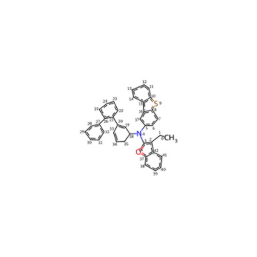 CCc1c(N(c2ccc3sc4ccccc4c3c2)C2C=C(c3ccccc3-c3ccccc3)C=CC2)oc2ccccc12